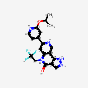 CC(C)Oc1cc(-c2cc3c(cn2)c2[nH]ncc2c(=O)n3CC(F)(F)F)ccn1